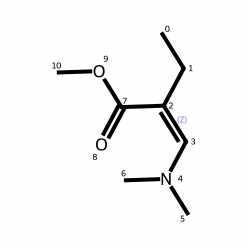 CC/C(=C/N(C)C)C(=O)OC